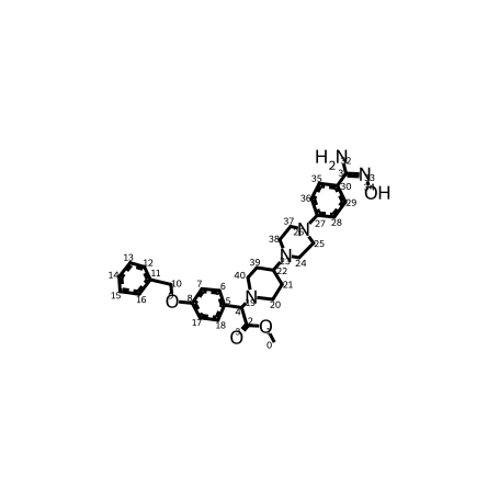 COC(=O)C(c1ccc(OCc2ccccc2)cc1)N1CCC(N2CCN(c3ccc(/C(N)=N\O)cc3)CC2)CC1